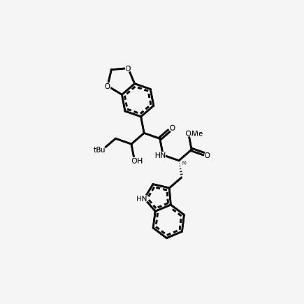 COC(=O)[C@H](Cc1c[nH]c2ccccc12)NC(=O)C(c1ccc2c(c1)OCO2)C(O)CC(C)(C)C